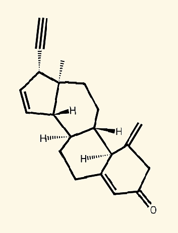 C#C[C@H]1C=C[C@H]2[C@@H]3CCC4=CC(=O)CC(=C)[C@@H]4[C@H]3CC[C@]12C